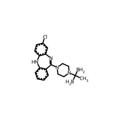 BC(B)(C)N1CCN(C2=Nc3cc(Cl)ccc3Nc3ccccc32)CC1